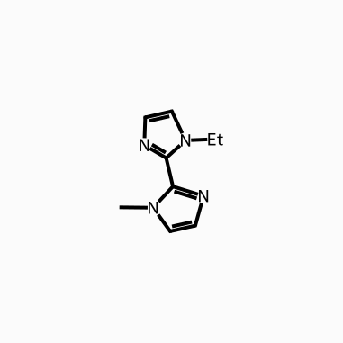 CCn1ccnc1-c1nccn1C